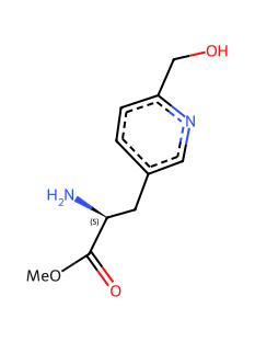 COC(=O)[C@@H](N)Cc1ccc(CO)nc1